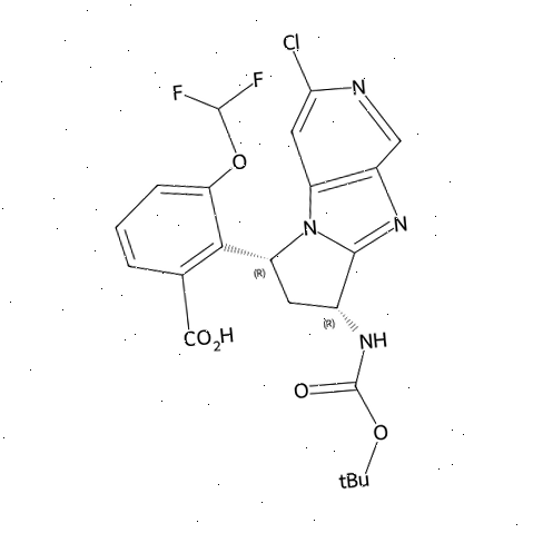 CC(C)(C)OC(=O)N[C@@H]1C[C@H](c2c(OC(F)F)cccc2C(=O)O)n2c1nc1cnc(Cl)cc12